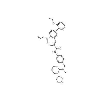 C1CCOC1.C=CCN1CCC(C(=O)Nc2ccc(CN(C)C3CCOCC3)cc2)=Cc2cc(-c3ccccc3OCC)ccc21